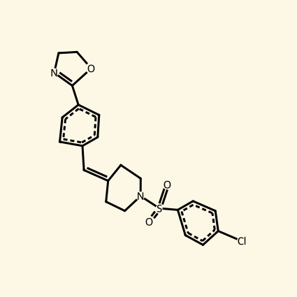 O=S(=O)(c1ccc(Cl)cc1)N1CCC(=Cc2ccc(C3=NCCO3)cc2)CC1